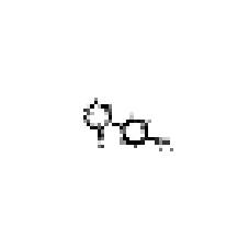 Bc1ccc(N2CCNCC2=O)cc1